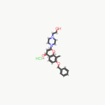 Cc1c(OCc2ccccc2)ccc2c(=O)cc(N3CCN(CCO)CC3)oc12.Cl